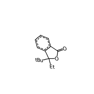 CCC1(C(C)(C)C)OC(=O)c2ccccc21